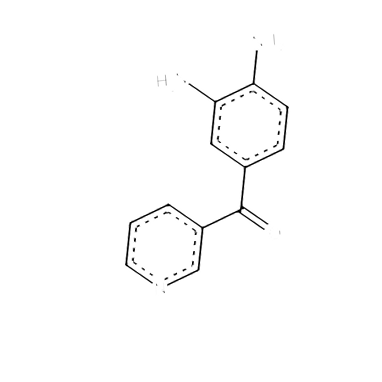 Nc1ccc(C(=O)c2cccnc2)cc1N